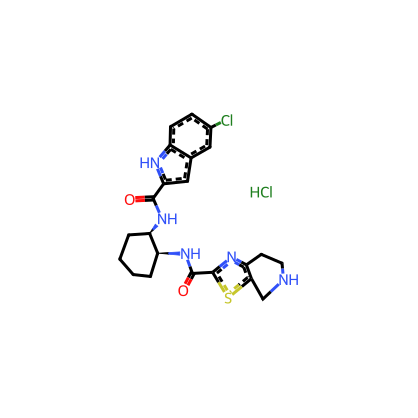 Cl.O=C(N[C@@H]1CCCC[C@@H]1NC(=O)c1nc2c(s1)CNCC2)c1cc2cc(Cl)ccc2[nH]1